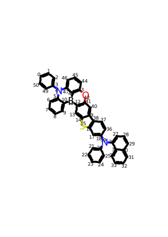 c1ccc(N2c3ccccc3B3c4cc5sc6cc(N(c7ccccc7)c7cccc8ccccc78)ccc6c5cc4Oc4cccc2c43)cc1